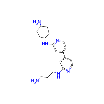 NCCCNc1cc(-c2ccnc(N[C@H]3CC[C@H](N)CC3)c2)ccn1